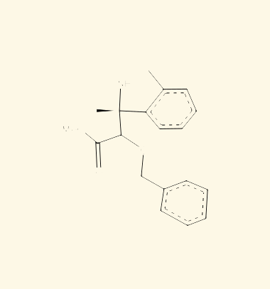 COC(=O)C(OCc1ccccc1)[C@](C)(N)c1ccccc1F